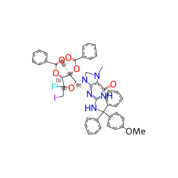 C#C[C@]1(OC(=O)c2ccccc2)[C@H](N2CN(C)c3c2nc(NC(c2ccccc2)(c2ccccc2)c2ccc(OC)cc2)[nH]c3=O)O[C@](F)(CI)[C@H]1OC(=O)c1ccccc1